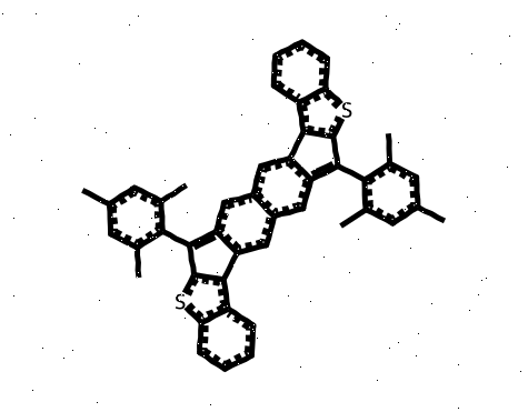 Cc1cc(C)c(C2=c3cc4cc5c(cc4cc3-c3c2sc2ccccc32)=C(c2c(C)cc(C)cc2C)c2sc3ccccc3c2-5)c(C)c1